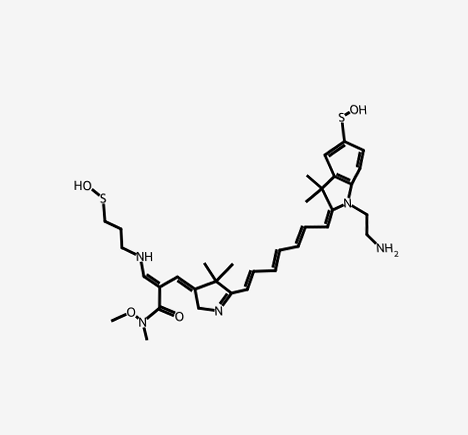 CON(C)C(=O)C(/C=C1\CN=C(/C=C/C=C/C=C/C=C2/N(CCN)c3ccc(SO)cc3C2(C)C)C1(C)C)=C/NCCCSO